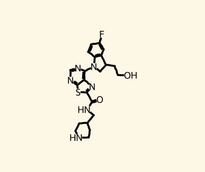 O=C(NCC1CCNCC1)c1nc2c(N3CC(CCO)c4cc(F)ccc43)ncnc2s1